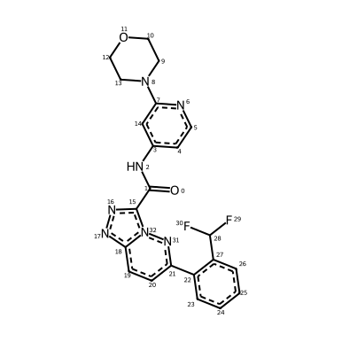 O=C(Nc1ccnc(N2CCOCC2)c1)c1nnc2ccc(-c3ccccc3C(F)F)nn12